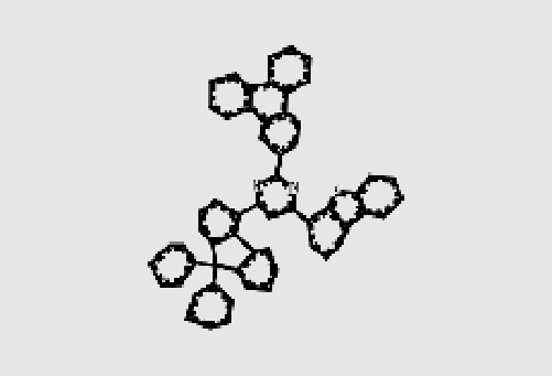 c1ccc(C2(c3ccccc3)c3ccccc3-c3c(-c4cc(-c5cccc6c5sc5ccccc56)nc(-c5ccc6c7ccccc7c7ccccc7c6c5)n4)cccc32)cc1